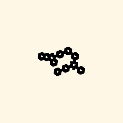 c1ccc(-c2ccc(-c3nc(-c4ccccc4)nc(-c4cccc(-c5cccc(-c6ccc(-c7nc8cc9ccccc9cc8c8ccccc78)cc6)c5)c4)n3)cc2)cc1